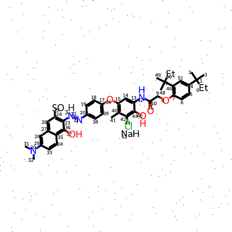 CCC(C)(C)c1ccc(OCC(=O)Nc2cc(Oc3ccc(/N=N/c4c(S(=O)(=O)O)cc5cc(N(C)C)ccc5c4O)cc3)c(C)c(Cl)c2O)c(C(C)(C)CC)c1.[NaH]